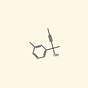 CC#CC(C)(O)c1cccc(C)c1